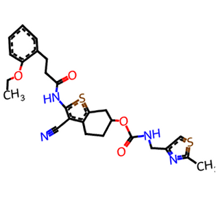 CCOc1ccccc1CCC(=O)Nc1sc2c(c1C#N)CCC(OC(=O)NCc1csc(C)n1)C2